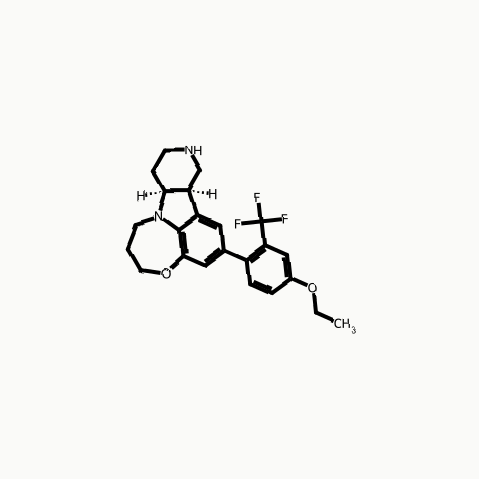 CCOc1ccc(-c2cc3c4c(c2)[C@@H]2CNCC[C@@H]2N4CCCO3)c(C(F)(F)F)c1